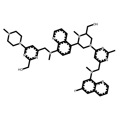 Cc1nc(CN(C)c2cc(F)cc3cccnc23)cc(N2CC(CO)N(C)C(c3ccc(N(C)Cc4cc(N5CCN(C)CC5)nc(CO)n4)c4ncccc34)C2)n1